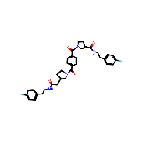 O=C(CC1CCN(C(=O)c2ccc(C(=O)N3CCC(C(=O)NCCc4ccc(F)cc4)C3)cc2)C1)NCCc1ccc(F)cc1